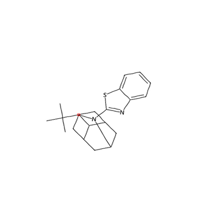 CC(C)(C)CC1C2CC3CC1CC(C2)N3c1nc2ccccc2s1